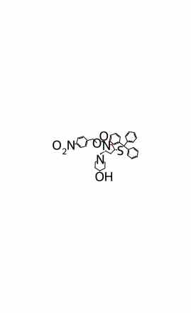 O=C(OCc1ccc([N+](=O)[O-])cc1)N1C[C@@H](SC(c2ccccc2)(c2ccccc2)c2ccccc2)C[C@H]1CN1CCC(O)CC1